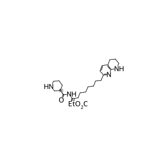 CCOC(=O)[C@H](CCCCCCCc1ccc2c(n1)NCCC2)NC(=O)[C@@H]1CCCNC1